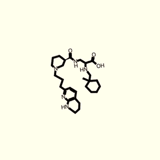 CC1(CNC(CNC(=O)[C@@H]2CCCN(CCCc3ccc4c(n3)NCCC4)C2)C(=O)O)CCCCC1